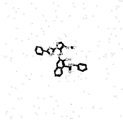 [C-]#[N+]c1cnn(-c2nnc(-c3ccccc3)s2)c1/N=N/c1cc2ccccc2c(C(=O)Nc2ccccc2)c1O